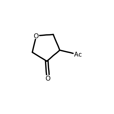 [CH2]C(=O)C1COCC1=O